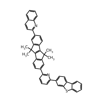 CC1(C)C2=C(c3ccc(-c4cccc(-c5ccc6c(c5)sc5ccccc56)n4)cc31)C(C)(C)c1cc(-c3ccc4ccccc4n3)ccc12